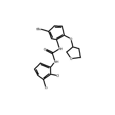 CC(C)(C)c1ccc(OC2CCOC2)c(NC(=O)Nc2cccc(Cl)c2Cl)c1